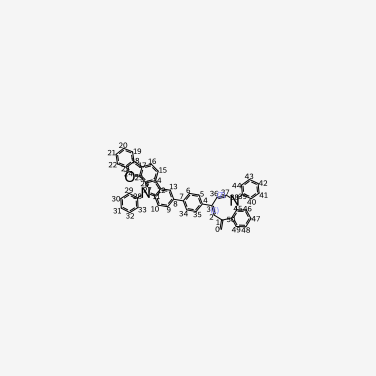 C=C1/C=C(c2ccc(-c3ccc4c(c3)c3ccc5c6ccccc6oc5c3n4-c3ccccc3)cc2)\C=C/N(c2ccccc2)c2ccccc21